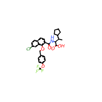 CC(C1CCCC1)C(NC(=O)c1ccc2ccc(Cl)cc2c1OCc1ccc(OC(F)(F)F)cc1)C(=O)O